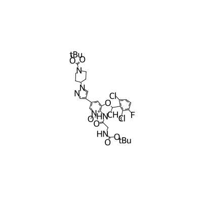 CC(Oc1cc(-c2cnn(C3CCN(C(=O)OC(C)(C)C)CC3)c2)c[n+]([O-])c1NC(=O)CNC(=O)OC(C)(C)C)c1c(Cl)ccc(F)c1Cl